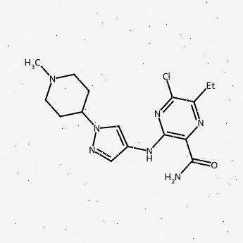 CCc1nc(C(N)=O)c(Nc2cnn(C3CCN(C)CC3)c2)nc1Cl